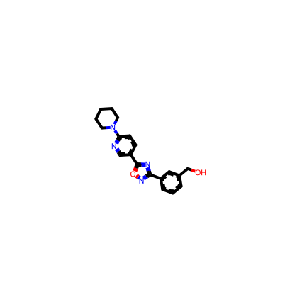 OCc1cccc(-c2noc(-c3ccc(N4CCCCC4)nc3)n2)c1